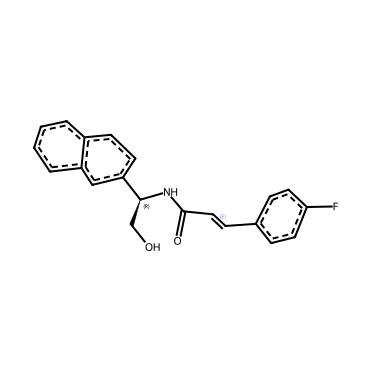 O=C(/C=C/c1ccc(F)cc1)N[C@@H](CO)c1ccc2ccccc2c1